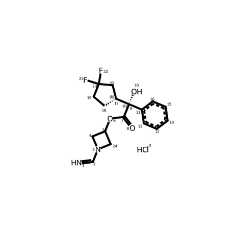 Cl.N=CN1CC(OC(=O)[C@](O)(c2ccccc2)[C@@H]2CCC(F)(F)C2)C1